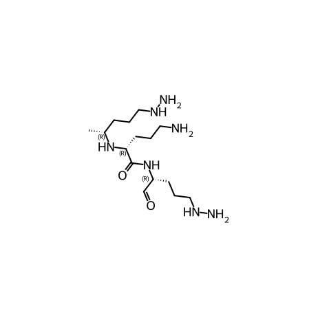 C[C@H](CCCNN)N[C@H](CCCN)C(=O)N[C@@H](C=O)CCCNN